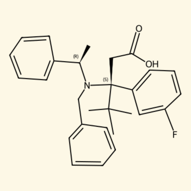 C[C@H](c1ccccc1)N(Cc1ccccc1)[C@](CC(=O)O)(c1cccc(F)c1)C(C)(C)C